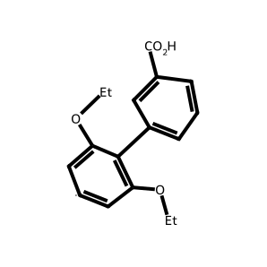 CCOc1c[c]cc(OCC)c1-c1cccc(C(=O)O)c1